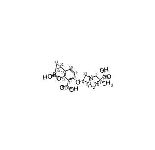 CC(N)(CN1CC(Oc2ccc3c(c2C(=O)O)OB(O)C2CC32)C1)C(=O)O